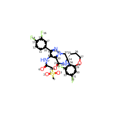 CS(=O)(=O)CC(=O)Nc1c(-c2ccc(F)c(F)c2)nn2c1C(=O)N[C@@]1(CCCOc3cc(F)cc(F)c31)C2